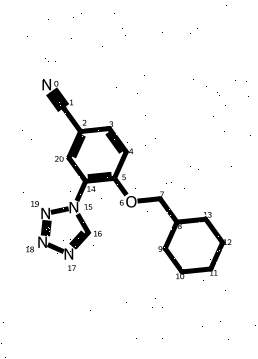 N#Cc1ccc(OCC2CCCCC2)c(-n2cnnn2)c1